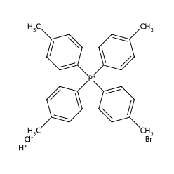 Cc1ccc([P+](c2ccc(C)cc2)(c2ccc(C)cc2)c2ccc(C)cc2)cc1.[Br-].[Cl-].[H+]